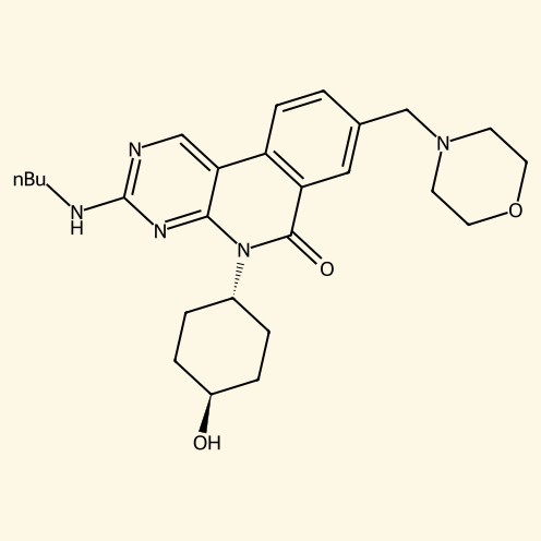 CCCCNc1ncc2c3ccc(CN4CCOCC4)cc3c(=O)n([C@H]3CC[C@H](O)CC3)c2n1